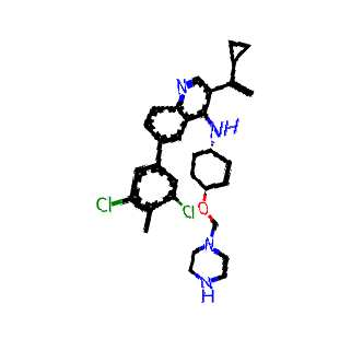 C=C(c1cnc2ccc(-c3cc(Cl)c(C)c(Cl)c3)cc2c1N[C@H]1CC[C@H](OCN2CCNCC2)CC1)C1CC1